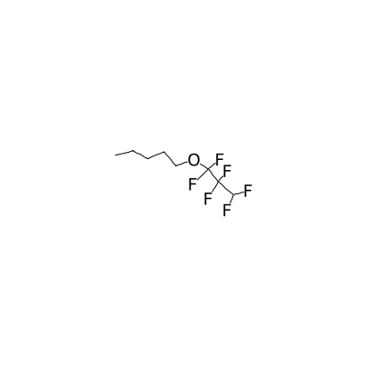 CCCCCOC(F)(F)C(F)(F)C(F)F